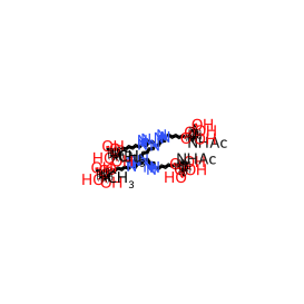 CC(=O)N[C@H]1[C@H](OCCCCCn2cc(CN(CCCCC(N(Cc3cn(CCCCCO[C@@H]4O[C@H](CO)[C@H](O)[C@H](O)[C@H]4C)nn3)Cc3cn(CCCCCO[C@@H]4O[C@H](CO)[C@H](O)[C@H](O)[C@H]4NC(C)=O)nn3)C(C)(C)C)Cc3cn(CCCCCC[C@@H]4O[C@H](CO)[C@H](O)[C@H](O)[C@H]4C)nn3)nn2)O[C@H](CO)[C@H](O)[C@@H]1O